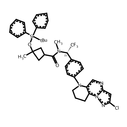 CN(C(=O)C1CC(C)(O[Si](c2ccccc2)(c2ccccc2)C(C)(C)C)C1)[C@@H](c1ccc(N2CCCc3c2cnc2cc(Cl)nn32)cc1)C(F)(F)F